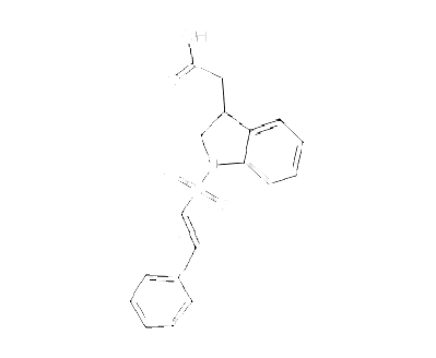 O=C(O)CC1CN(S(=O)(=O)/C=C/c2ccccc2)c2ccccc21